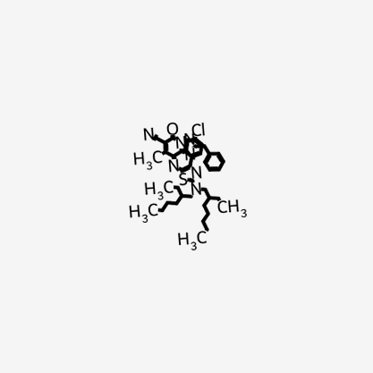 CCCCCC(CC)CN(CC(CC)CCCC)c1nc(-c2ccc(Cl)cc2)c(/N=C2/C(C)=C(C#N)C(=O)n3nc(Cc4ccccc4)nc32)s1